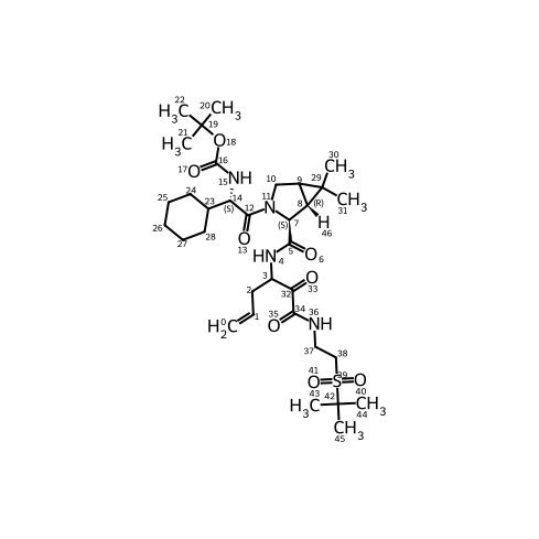 C=CCC(NC(=O)[C@@H]1[C@@H]2C(CN1C(=O)[C@@H](NC(=O)OC(C)(C)C)C1CCCCC1)C2(C)C)C(=O)C(=O)NCCS(=O)(=O)C(C)(C)C